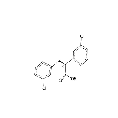 O=C(O)[C@@H](Cc1cccc(Cl)c1)c1cccc(Cl)c1